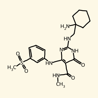 CNC(=O)c1c(Nc2cccc(S(C)(=O)=O)c2)nc(NCC2(N)CCCCC2)[nH]c1=O